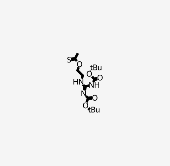 CC(=S)OCCNC(=NC(=O)OC(C)(C)C)NC(=O)OC(C)(C)C